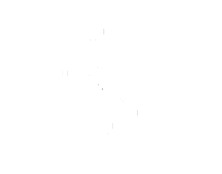 COc1ccc(CN2CCC3(C[C@H]2C#C[Si](C)(C)C)OCCc2cc(C(F)(F)F)sc23)c(OC)c1